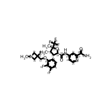 C[C@H]1[C@@H](c2ccc(F)c(F)c2OCC2(F)CN(C)C2)[C@H](C(=O)Nc2ccnc(C(N)=O)c2)O[C@@]1(C)C(F)(F)F